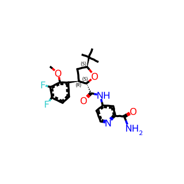 COc1c([C@H]2C[C@@H](C(C)(C)C)O[C@@H]2C(=O)Nc2ccnc(C(N)=O)c2)ccc(F)c1F